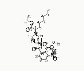 CCCCCCC(C(=O)OCC)n1cnc(NC(=O)c2cccc([N+](=O)[O-])c2C(=O)OCC)c1